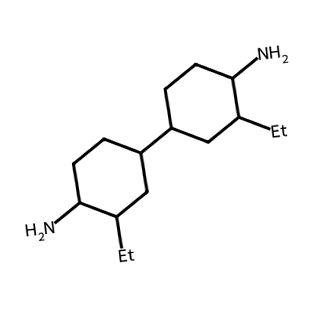 CCC1CC(C2CCC(N)C(CC)C2)CCC1N